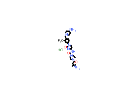 CC(C)(N)CC(=O)N1CCN(C(=O)Nc2ccn(-c3ccc(CN4CCC(N)CC4)c(C(F)(F)F)c3)c(=O)n2)CC1.Cl